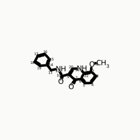 COc1cccc2c(=O)c(C(=O)NCc3ccccc3)c[nH]c12